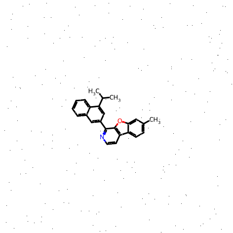 Cc1ccc2c(c1)oc1c(-c3cc(C(C)C)c4ccccc4c3)nccc12